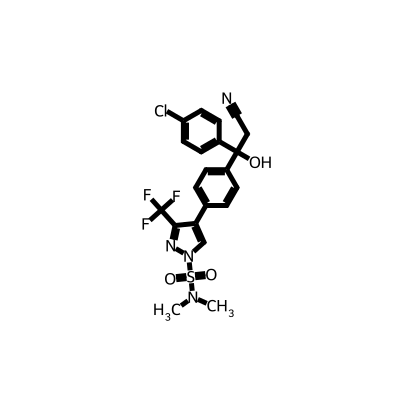 CN(C)S(=O)(=O)n1cc(-c2ccc(C(O)(CC#N)c3ccc(Cl)cc3)cc2)c(C(F)(F)F)n1